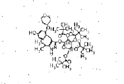 CC(C)c1[nH]nc(O[C@@H]2O[C@H](COC(=O)C(C)(C)C)[C@@H](OC(=O)C(C)(C)C)[C@H](OC(=O)C(C)(C)C)[C@H]2OC(=O)C(C)(C)C)c1Cc1ccc(O)cc1OC1CCOCC1